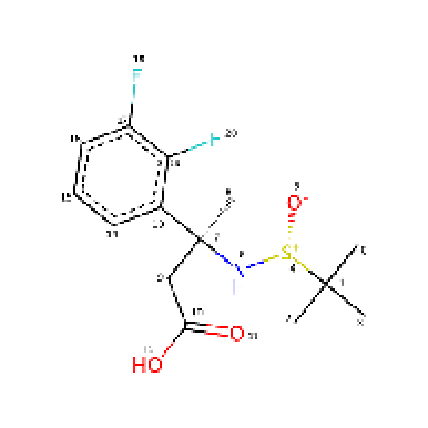 CC(C)(C)[S@@+]([O-])N[C@@](C)(CC(=O)O)c1cccc(F)c1F